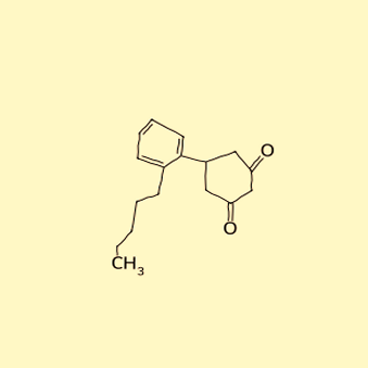 CCCCCc1ccccc1C1CC(=O)CC(=O)C1